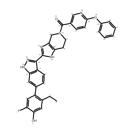 CCc1cc(O)c(F)cc1-c1ccc2c(-c3nc4c([nH]3)CCN(C(=O)c3ccc(Oc5ccccc5)nc3)C4)n[nH]c2c1